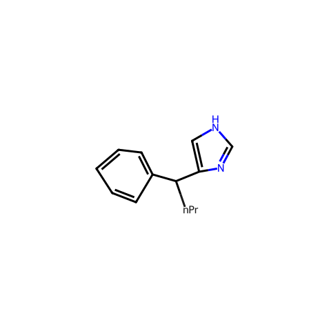 CCCC(c1ccccc1)c1c[nH]cn1